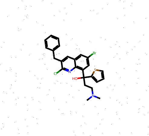 CN(C)CCC(O)(c1cccs1)c1cc(Br)cc2cc(Cc3ccccc3)c(Cl)nc12